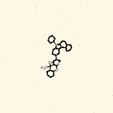 CC1(C)c2ccccc2Oc2ccc(-c3ccc4c(c3)c3c5ccccc5ccc3n4-c3ccccc3)cc21